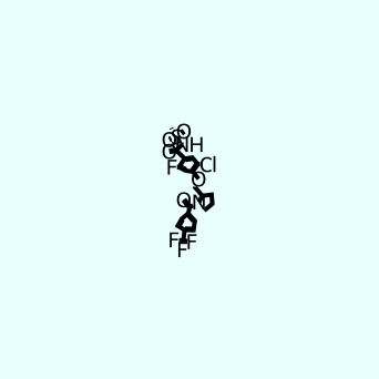 CS(=O)(=O)NC(=O)c1cc(Cl)c(OCC2CCCN2C(=O)c2ccc(C(F)(F)F)cc2)cc1F